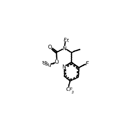 CCN(C(=O)OC(C)(C)C)C(C)c1ncc(C(F)(F)F)cc1F